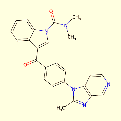 Cc1nc2cnccc2n1-c1ccc(C(=O)c2cn(C(=O)N(C)C)c3ccccc23)cc1